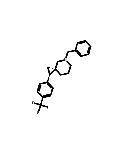 FC(F)(F)c1ccc([C@H]2C[C@]23CCCN(Cc2ccccc2)C3)cc1